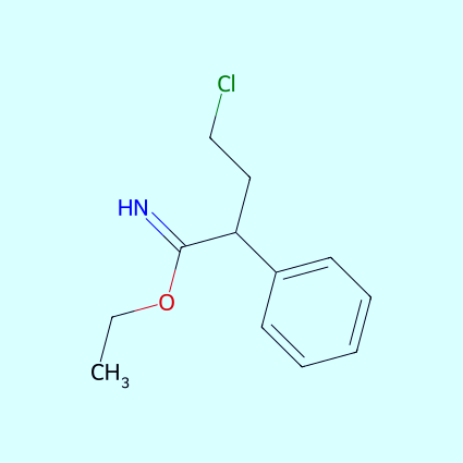 CCOC(=N)C(CCCl)c1ccccc1